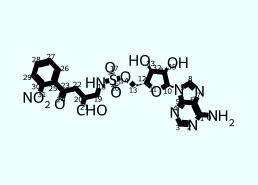 Nc1ncnc2c1ncn2[C@@H]1O[C@H](COS(=O)(=O)NCC(C=O)CC(=O)c2ccccc2[N+](=O)[O-])[C@@H](O)[C@H]1O